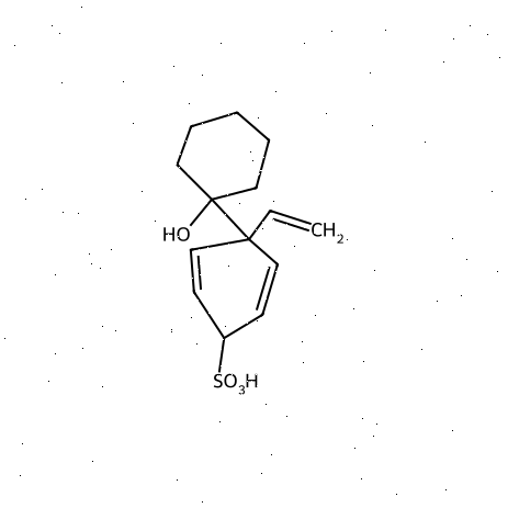 C=CC1(C2(O)CCCCC2)C=CC(S(=O)(=O)O)C=C1